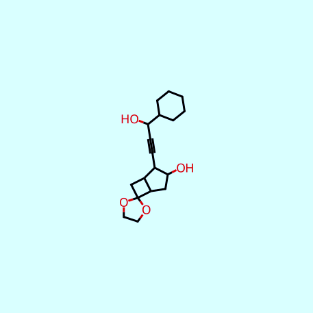 OC(C#CC1C(O)CC2C1CC21OCCO1)C1CCCCC1